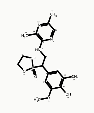 COc1cc(C(CNc2ncc(C)nc2C)P2(=O)OCCO2)cc(C)c1O